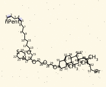 CCCCC/C=C\C/C=C\CCCCCCCCOCC(CN1CCSCC1)OCCOCCO[C@H]1CC[C@@]2(C)C(=CCC3C2CC[C@@]2(C)C3CC[C@@H]2[C@H](C)CCCC(C)C)C1